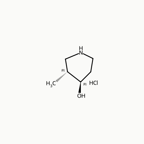 C[C@@H]1CNCC[C@H]1O.Cl